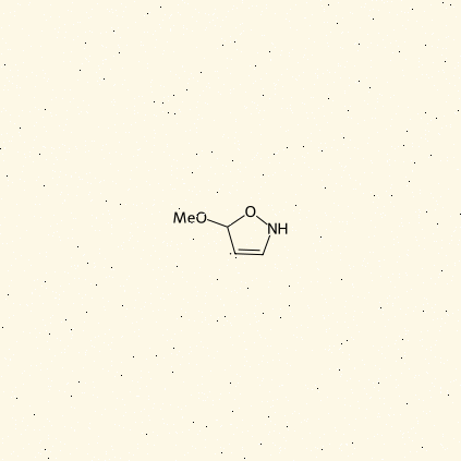 COC1[C]=CNO1